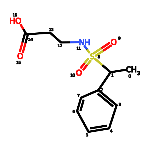 CC(c1ccccc1)S(=O)(=O)NCCC(=O)O